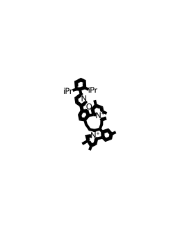 C=C1CC2c3cc(C)ccc3-c3cc(C)c(C)c[n+]3C2CCc2ccc3c(oc4nc(-c5c(C(C)C)cccc5C(C)C)ccc43)c2-c2cc(C)cc(C)[n+]21